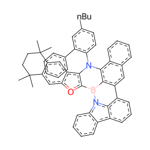 CCCCc1ccc(N2c3c4c(cc5ccccc35)-c3cccc5c6ccccc6n(c35)B4c3oc4cc5c(cc4c32)C(C)(C)CCC5(C)C)c(-c2ccccc2)c1